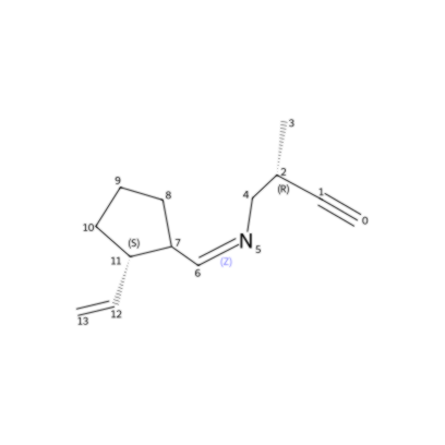 C#C[C@@H](C)C/N=C\C1CCC[C@H]1C=C